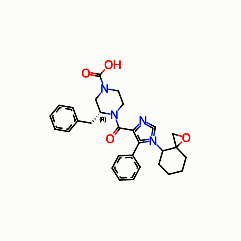 O=C(O)N1CCN(C(=O)c2ncn(C3CCCCC34CO4)c2-c2ccccc2)[C@H](Cc2ccccc2)C1